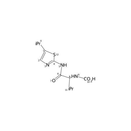 CC(C)c1cnc(NC(=O)C(NC(=O)O)C(C)C)s1